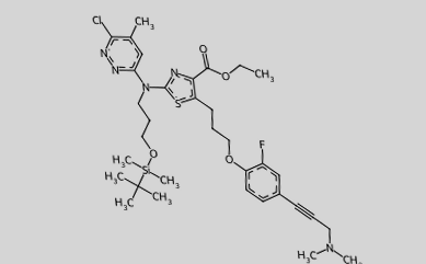 CCOC(=O)c1nc(N(CCCO[Si](C)(C)C(C)(C)C)c2cc(C)c(Cl)nn2)sc1CCCOc1ccc(C#CCN(C)C)cc1F